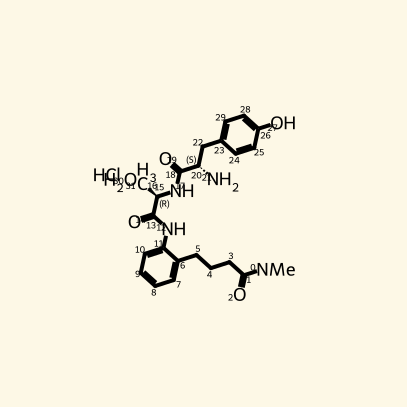 CNC(=O)CCCc1ccccc1NC(=O)[C@@H](C)NC(=O)[C@@H](N)Cc1ccc(O)cc1.Cl.O